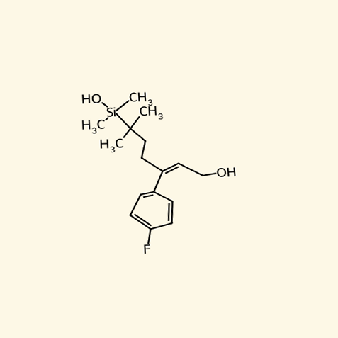 CC(C)(CC/C(=C/CO)c1ccc(F)cc1)[Si](C)(C)O